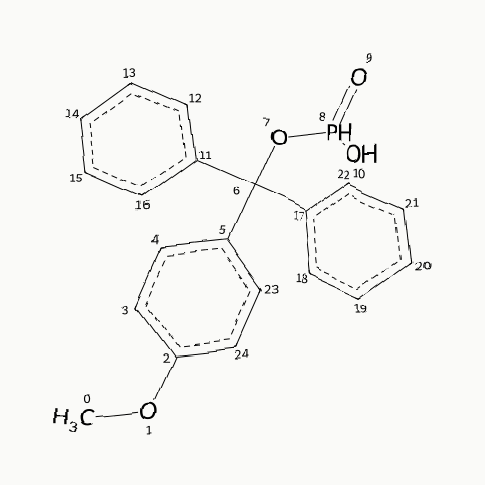 COc1ccc(C(O[PH](=O)O)(c2ccccc2)c2ccccc2)cc1